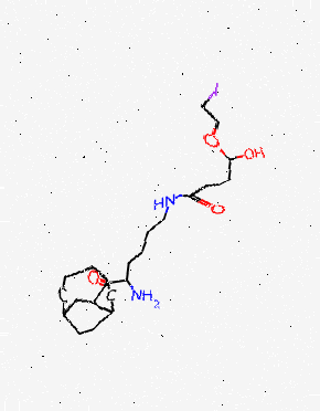 NC(CCCCNC(=O)CCC(O)OCCI)C(=O)C1CC2CCCCCC1CC2